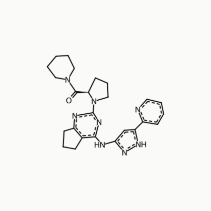 O=C([C@H]1CCCN1c1nc2c(c(Nc3cc(-c4ccccn4)[nH]n3)n1)CCC2)N1CCCCC1